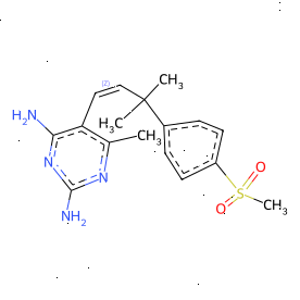 Cc1nc(N)nc(N)c1/C=C\C(C)(C)c1ccc(S(C)(=O)=O)cc1